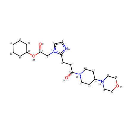 O=C(Cn1ccnc1CCC(=O)N1CCC(N2CCOCC2)CC1)OC1CCCCC1